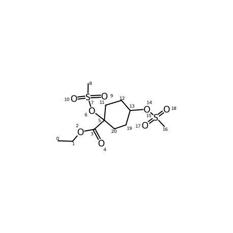 CCOC(=O)C1(OS(C)(=O)=O)CCC(OS(C)(=O)=O)CC1